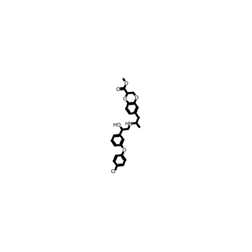 COC(=O)C1COc2cc(CC(C)NCC(O)c3cccc(Oc4ccc(Cl)cc4)c3)ccc2O1